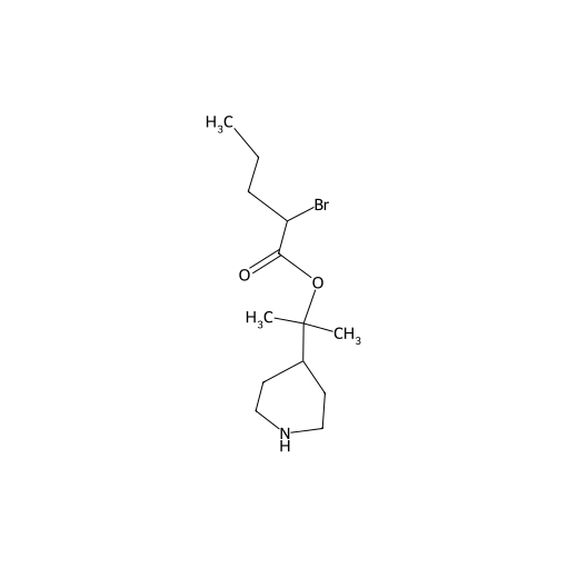 CCCC(Br)C(=O)OC(C)(C)C1CCNCC1